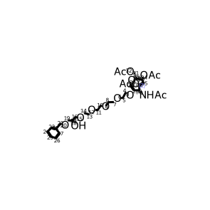 CC(=O)N[C@H]1C(OCCOCCOCCOCCOC[C@H](O)COCc2ccccc2)=CO[C@H](COC(C)=O)[C@H](OC(C)=O)/C=C/1OC(C)=O